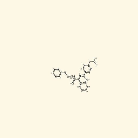 CC(C)Cc1ccc(-c2nc(C(=O)NCCc3ccccc3)c3ccccc3n2)cc1